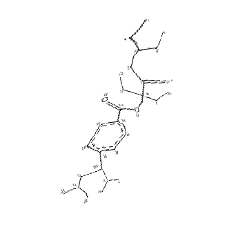 C=C(CC(CC)CC)C(CC)(CC)OC(=O)c1ccc(C(CC(C)C)C(C)C)cc1